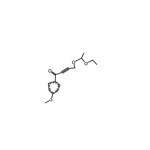 CCOC(C)OCC#CC(=O)c1ccc(SC)cc1